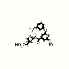 Cc1cccc(Oc2cc(C(=O)Nc3nc(CC(=O)O)cs3)cc(OC(C)C)n2)c1